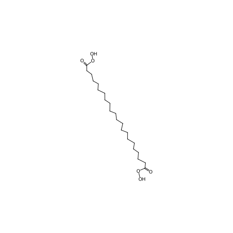 O=C(CCCCCCCCCCCCCCCCCCCCC(=O)OO)OO